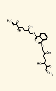 C=CC(=O)C(O)CCC(O)COC(=O)c1ccccc1C(=O)OCC(O)CCC(O)C(=O)C=C